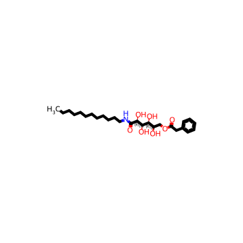 CCCCCCCCCCCCNC(=O)[C@H](O)[C@@H](O)[C@H](O)[C@H](O)COC(=O)Cc1ccccc1